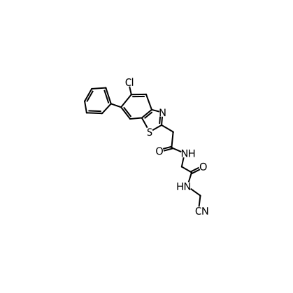 N#CCNC(=O)CNC(=O)Cc1nc2cc(Cl)c(-c3ccccc3)cc2s1